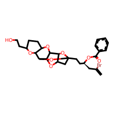 C=C(Br)C[C@@H](CCC12CC3OC4C(OC5CCC(CCO)OC5C4O1)C3O2)OC(=O)c1ccccc1